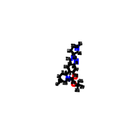 C[C@H]1CC=C(c2ccc3nn(C4CCN(C)C4)cc3c2)N(C(=O)OC(C)(C)C)C1